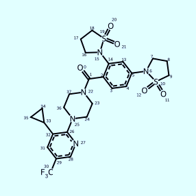 O=C(c1ccc(N2CCCS2(=O)=O)cc1N1CCCS1(=O)=O)N1CCN(c2ncc(C(F)(F)F)cc2C2CC2)CC1